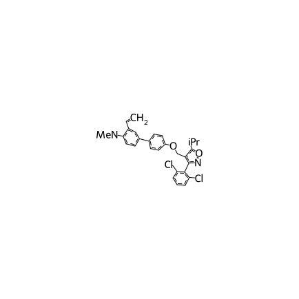 C=Cc1cc(-c2ccc(OCc3c(-c4c(Cl)cccc4Cl)noc3C(C)C)cc2)ccc1NC